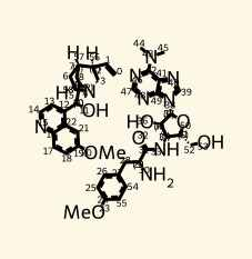 C=C[C@H]1C[N@]2CC[C@H]1C[C@@H]2[C@@H](O)c1ccnc2ccc(OC)cc12.COc1ccc(C[C@H](N)C(=O)N[C@H]2[C@@H](O)[C@H](n3cnc4c(N(C)C)ncnc43)O[C@@H]2CO)cc1